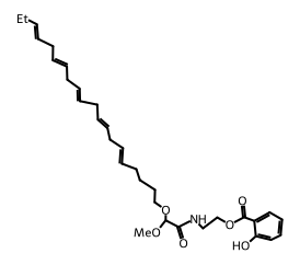 CCC=CCC=CCC=CCC=CCC=CCCCCOC(OC)C(=O)NCCOC(=O)c1ccccc1O